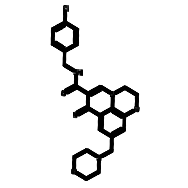 O=C(NCc1ccc(Cl)cc1)c1cn2c3c(cc(CN4CCOCC4)cc3c1=S)OCC2